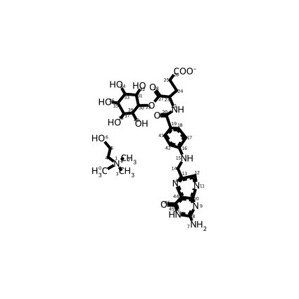 C[N+](C)(C)CCO.Nc1nc2ncc(CNc3ccc(C(=O)NC(CCC(=O)[O-])C(=O)OC4C(O)C(O)C(O)C(O)C4O)cc3)nc2c(=O)[nH]1